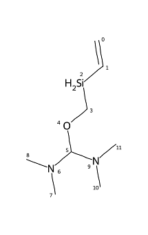 C=C[SiH2]COC(N(C)C)N(C)C